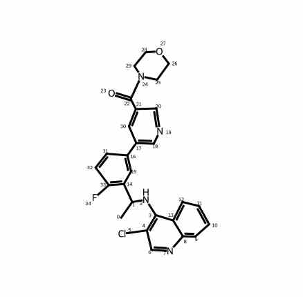 CC(Nc1c(Cl)cnc2ccccc12)c1cc(-c2cncc(C(=O)N3CCOCC3)c2)ccc1F